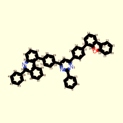 c1ccc(-c2nc(-c3ccc(-c4cccc5c4oc4ccccc45)cc3)cc(-c3ccc(-c4cccc5nc(-c6ccccc6)c6ccccc6c45)cc3)n2)cc1